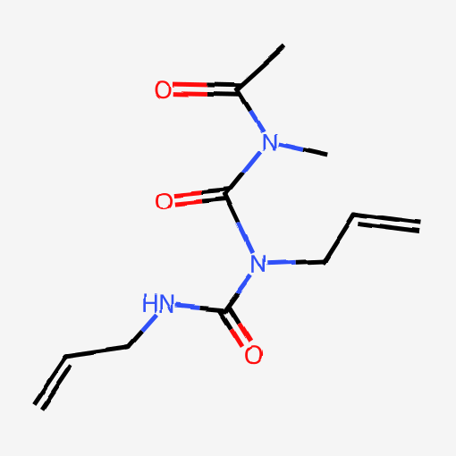 C=CCNC(=O)N(CC=C)C(=O)N(C)C(C)=O